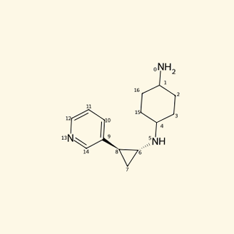 NC1CCC(N[C@@H]2C[C@H]2c2cccnc2)CC1